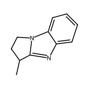 CC1CCn2c1nc1ccccc12